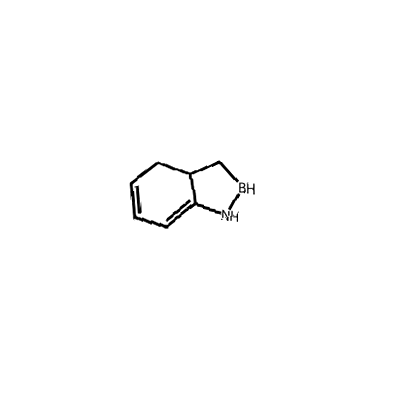 B1CC2CC=CC=C2N1